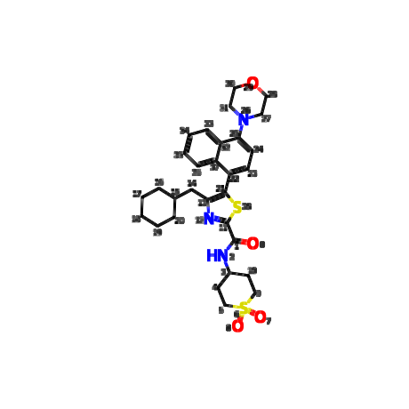 O=C(NC1CCS(=O)(=O)CC1)c1nc(CC2CCCCC2)c(-c2ccc(N3CCOCC3)c3ccccc23)s1